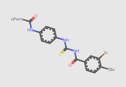 CCCCCC(=O)Nc1ccc(NC(=S)NC(=O)c2ccc(C(C)(C)C)c(Br)c2)cc1